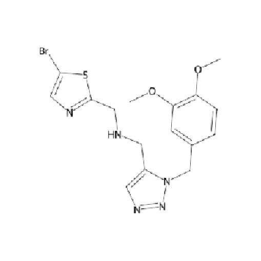 COc1ccc(Cn2nncc2CNCc2ncc(Br)s2)cc1OC